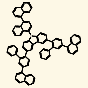 c1ccc(-c2cc(-c3cccc4ccccc34)ccc2-c2ccc3c(c2)c2cc(-c4ccc(-c5cccc6ccccc56)cc4-c4ccccc4)ccc2n3-c2ccc(-c3cccc4ccccc34)c3ccccc23)cc1